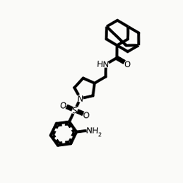 Nc1ccccc1S(=O)(=O)N1CCC(CNC(=O)C23CC4CC(CC(C4)C2)C3)C1